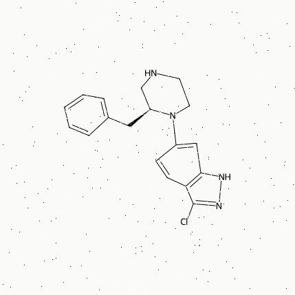 Clc1n[nH]c2cc(N3CCNC[C@@H]3Cc3ccccc3)ccc12